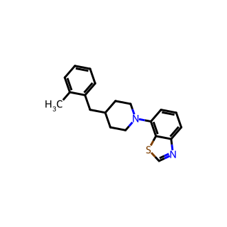 Cc1ccccc1CC1CCN(c2cccc3ncsc23)CC1